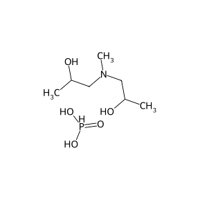 CC(O)CN(C)CC(C)O.O=[PH](O)O